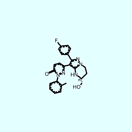 Cc1ccccc1-n1nc(-c2c(-c3ccc(F)cc3)nn3c2N[C@@H](CO)CC3)ccc1=O